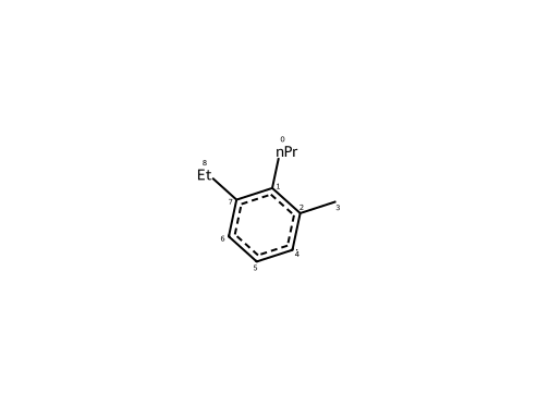 CCCc1c(C)[c]ccc1CC